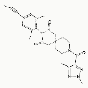 CC#Cc1cc(C)c(C2C(=O)CC3(CCN(C(=O)c4nn(C)nc4C)CC3)CC2=O)c(C)c1